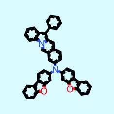 c1ccc(-c2c3ccccc3n3cc4cc(N(c5ccc6c(c5)oc5ccccc56)c5ccc6c(c5)oc5ccccc56)ccc4cc23)cc1